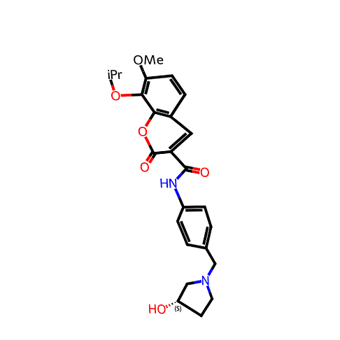 COc1ccc2cc(C(=O)Nc3ccc(CN4CC[C@H](O)C4)cc3)c(=O)oc2c1OC(C)C